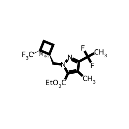 CCOC(=O)c1c(C)c(C(C)(F)F)nn1C[C@@H]1CC[C@H]1C(F)(F)F